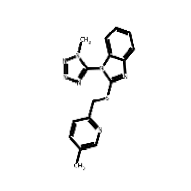 Cc1ccc(CSc2nc3ccccc3n2-c2nnnn2C)nc1